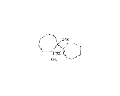 CC(=O)OC1(C2(C)CCCCCC2)CCCCCC1(C)C